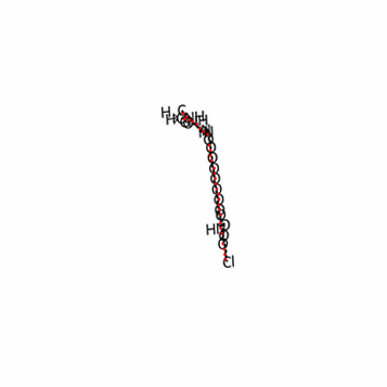 CCC[C@H](NC(=O)NCCCCCn1cc(COCCOCCCOCCCOCCCOCCCOCCCOCCCOCOCCCC(=O)NCCOCCOCCCCCCCl)nn1)C(=O)O